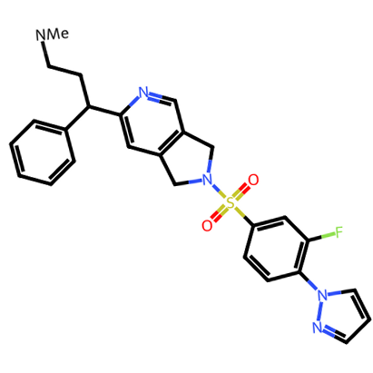 CNCCC(c1ccccc1)c1cc2c(cn1)CN(S(=O)(=O)c1ccc(-n3cccn3)c(F)c1)C2